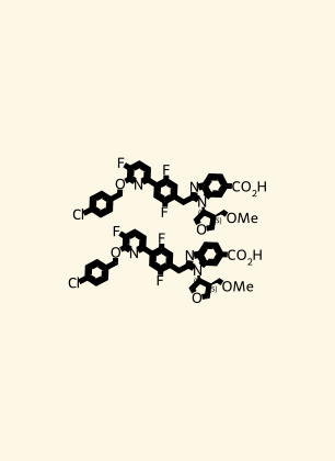 COC[C@H]1COC[C@H]1n1c(Cc2cc(F)c(-c3ccc(F)c(OCc4ccc(Cl)cc4)n3)cc2F)nc2ccc(C(=O)O)cc21.COC[C@H]1COC[C@H]1n1c(Cc2cc(F)c(-c3ccc(F)c(OCc4ccc(Cl)cc4)n3)cc2F)nc2ccc(C(=O)O)cc21